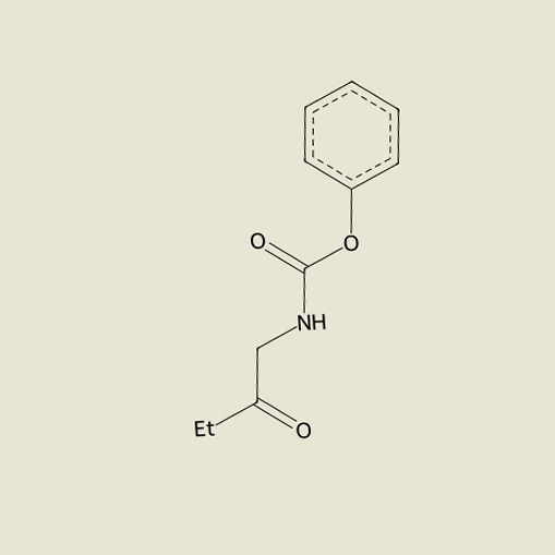 CCC(=O)CNC(=O)Oc1ccccc1